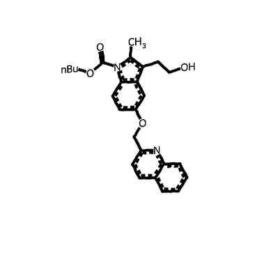 CCCCOC(=O)n1c(C)c(CCO)c2cc(OCc3ccc4ccccc4n3)ccc21